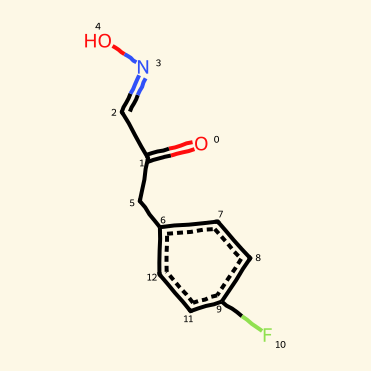 O=C(C=NO)Cc1ccc(F)cc1